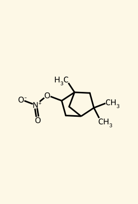 CC1(C)CC2(C)CC1CC2O[N+](=O)[O-]